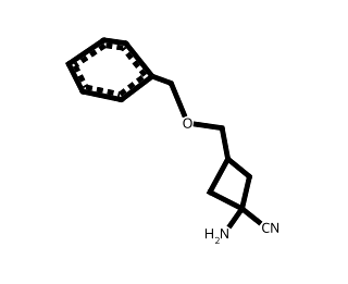 N#CC1(N)CC(COCc2ccccc2)C1